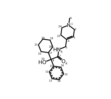 CN1CC=C(CNC(=O)C(O)(c2ccccc2)C2CCCCC2)CC1